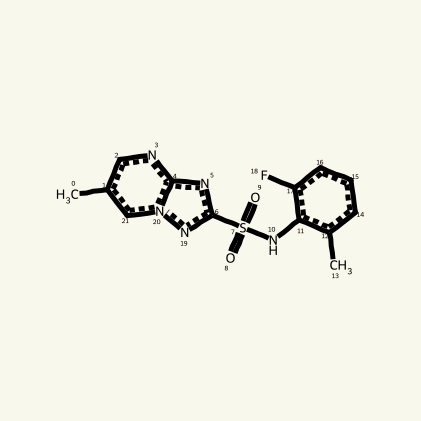 Cc1cnc2nc(S(=O)(=O)Nc3c(C)cccc3F)nn2c1